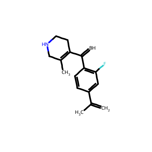 B=C(C1=C(C)CNCC1)c1ccc(C(=C)C)cc1F